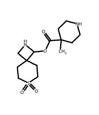 CC1(C(=O)OC2NCC23CCS(=O)(=O)CC3)CCNCC1